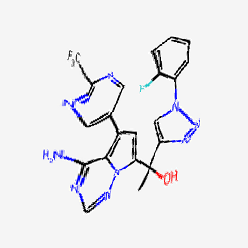 CC(O)(c1cn(-c2ccccc2F)nn1)c1cc(-c2cnc(C(F)(F)F)nc2)c2c(N)ncnn12